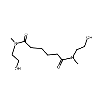 CN(CCO)C(=O)CCCCC(=O)N(C)CCO